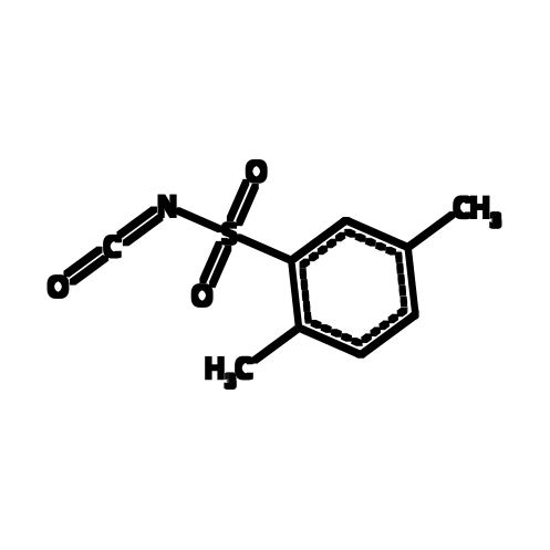 Cc1ccc(C)c(S(=O)(=O)N=C=O)c1